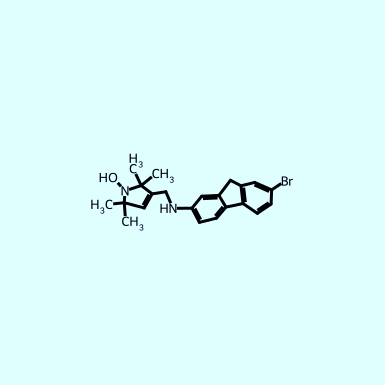 CC1(C)C=C(CNc2ccc3c(c2)Cc2cc(Br)ccc2-3)C(C)(C)N1O